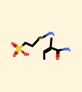 CC=C(C)C(N)=O.CCCN.CCCS(=O)(=O)O